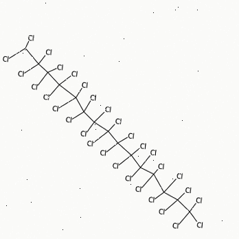 Cl[C](Cl)C(Cl)(Cl)C(Cl)(Cl)C(Cl)(Cl)C(Cl)(Cl)C(Cl)(Cl)C(Cl)(Cl)C(Cl)(Cl)C(Cl)(Cl)C(Cl)(Cl)C(Cl)(Cl)C(Cl)(Cl)C(Cl)(Cl)C(Cl)(Cl)C(Cl)(Cl)Cl